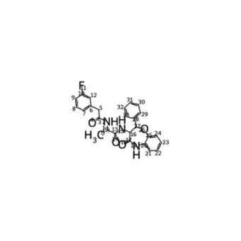 C[C@H](NC(=O)Cc1cccc(F)c1)C(=O)NC1C(=O)Nc2ccccc2OC1c1ccccc1